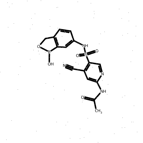 CC(=O)Nc1cc(C#N)c(S(=O)(=O)Nc2ccc3c(c2)B(O)OC3)cn1